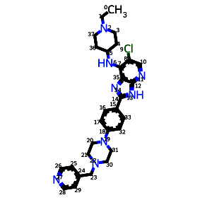 CCN1CCC(Nc2c(Cl)cnc3[nH]c(-c4ccc(N5CCN(Cc6ccncc6)CC5)cc4)nc23)CC1